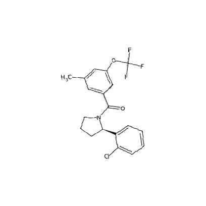 Cc1cc(OC(F)(F)F)cc(C(=O)N2CCC[C@@H]2c2ccccc2Cl)c1